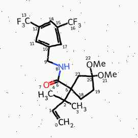 C=CC(C)(C)C1(C(=O)NCc2cc(C(F)(F)F)cc(C(F)(F)F)c2)CCC(OC)(OC)C1